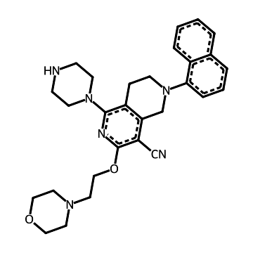 N#Cc1c(OCCN2CCOCC2)nc(N2CCNCC2)c2c1CN(c1cccc3ccccc13)CC2